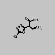 C=CC(C(N)=O)c1nnc(S)o1